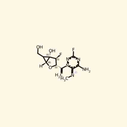 C=C([C@@H]1O[C@@H]2C(CO)[C@@]2(O)[C@H]1F)n1nc(F)nc(N)/c1=N/C